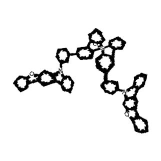 O=S12(c3ccccc3-c3cc(-c4cccc(-n5c6ccccc6c6cc7c(cc65)oc5ccccc57)c4)ccc31)c1ccccc1-c1cc(-c3cccc(-n4c5ccccc5c5cc6c(cc54)oc4ccccc46)c3)ccc12